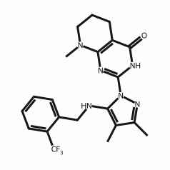 Cc1nn(-c2nc3c(c(=O)[nH]2)CCCN3C)c(NCc2ccccc2C(F)(F)F)c1C